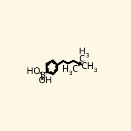 CC(C)(C)CCCc1ccc(B(O)O)cc1